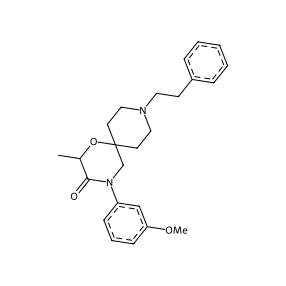 COc1cccc(N2CC3(CCN(CCc4ccccc4)CC3)OC(C)C2=O)c1